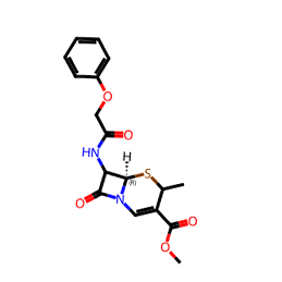 COC(=O)C1=CN2C(=O)C(NC(=O)COc3ccccc3)[C@H]2SC1C